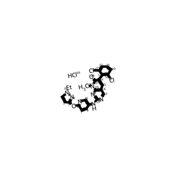 CCn1ccc(Oc2ccc(Nc3ncc4cc(-c5c(Cl)cccc5Cl)c(=O)n(C)c4n3)cn2)n1.Cl